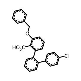 O=C(O)c1c(OCc2ccccc2)cccc1-c1ccccc1-c1ccc(Cl)cc1